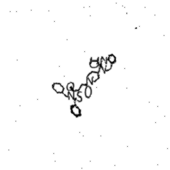 O=C(CC1SC(c2ccccc2)N(CC2CCCCC2)C1=O)N1CCC(N2CCc3ccccc3NC2=O)CC1